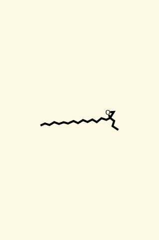 CCCCCCCCCCCCCCCC1(CCC)CO1